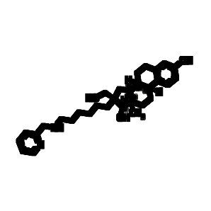 C[C@]12CC[C@@H]3c4ccc(O)cc4CC[C@H]3[C@@H]1C[C@@](CO)(CCCCCCNCc1ccccn1)[C@@H]2O